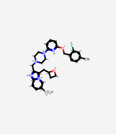 N#Cc1ccc(COc2cccc(N3CCN(Cc4nc5ccc(C(=O)O)cn5c4CC4CCO4)CC3)n2)c(F)c1